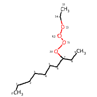 CCCCCCCC(CC)OOOOCC